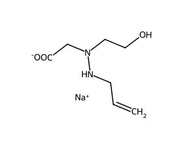 C=CCNN(CCO)CC(=O)[O-].[Na+]